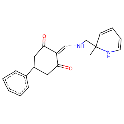 CC1(CNC=C2C(=O)CC(c3ccccc3)CC2=O)C=CC=CN1